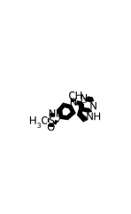 CN(c1ncnc2[nH]ccc12)[C@H]1CC[C@@H](CS(C)(=N)=O)CC1